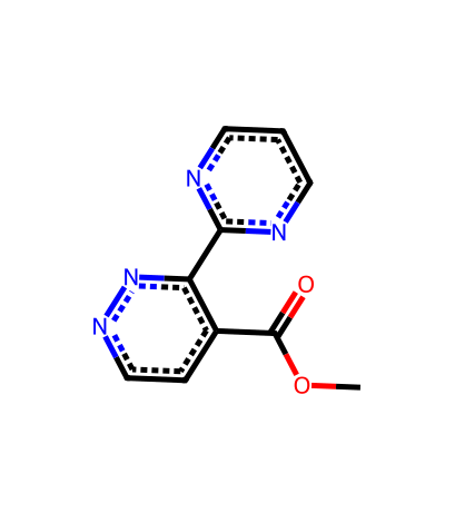 COC(=O)c1ccnnc1-c1ncccn1